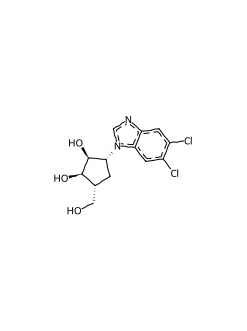 OC[C@H]1C[C@@H](n2cnc3cc(Cl)c(Cl)cc32)[C@H](O)[C@@H]1O